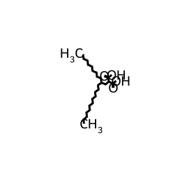 CCCCCCCCCCCCC(CCCCCCCCCC)CC(C(=O)O)C(=O)O